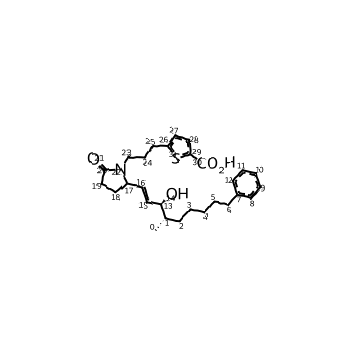 C[C@@H](CCCCCc1ccccc1)[C@H](O)C=CC1CCC(=O)N1CCCc1ccc(C(=O)O)s1